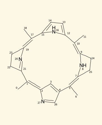 Cc1c2cc(c(C)c3[nH]c(c(C)c4ccc([nH]4)c(C)c4nc1CC4)CC3)C=N2